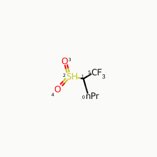 CCCC([SH](=O)=O)C(F)(F)F